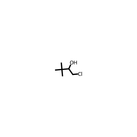 CC(C)(C)C(O)CCl